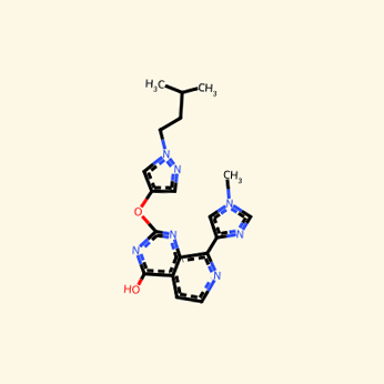 CC(C)CCn1cc(Oc2nc(O)c3ccnc(-c4cn(C)cn4)c3n2)cn1